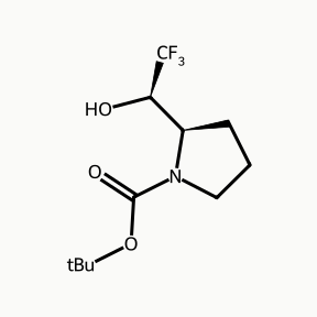 CC(C)(C)OC(=O)N1CCC[C@@H]1[C@@H](O)C(F)(F)F